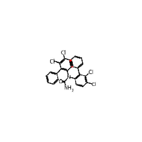 NC(=O)N(c1ccc(Cl)c(Cl)c1-c1ccccc1)c1ccc(Cl)c(Cl)c1-c1ccccc1